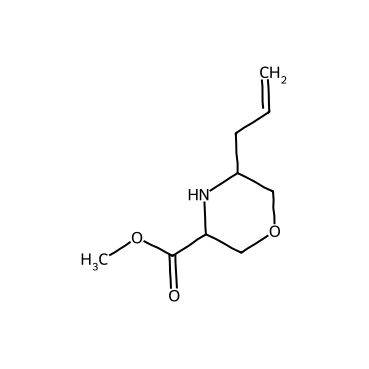 C=CCC1COCC(C(=O)OC)N1